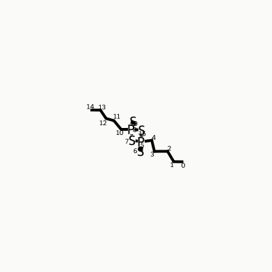 CCCCCP1(=S)SP(=S)(CCCCC)S1